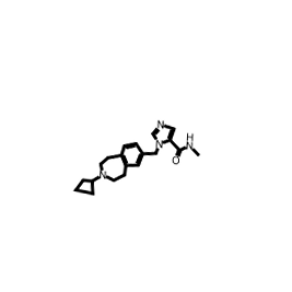 CNC(=O)c1cncn1Cc1ccc2c(c1)CCN(C1CCC1)CC2